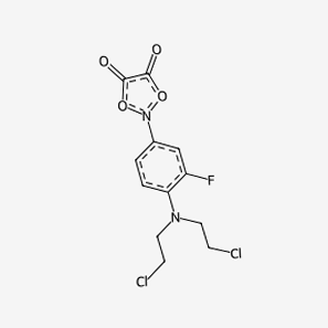 O=c1on(-c2ccc(N(CCCl)CCCl)c(F)c2)oc1=O